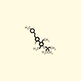 CCc1cc(-c2ccc(CCC3CCC(C)CC3)cc2F)c(CC)cc1OCC(CC)(CC)CC